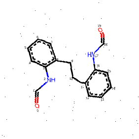 O=CNc1ccccc1CCc1ccccc1NC=O